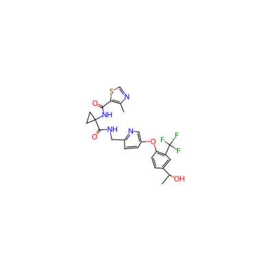 Cc1ncsc1C(=O)NC1(C(=O)NCc2ccc(Oc3ccc(C(C)O)cc3C(F)(F)F)cn2)CC1